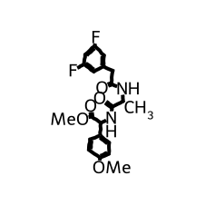 COC(=O)C(NC(=O)[C@H](C)NC(=O)Cc1cc(F)cc(F)c1)c1ccc(OC)cc1